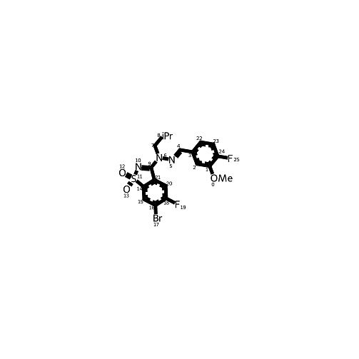 COc1cc(/C=N/N(CC(C)C)C2=NS(=O)(=O)c3cc(Br)c(F)cc32)ccc1F